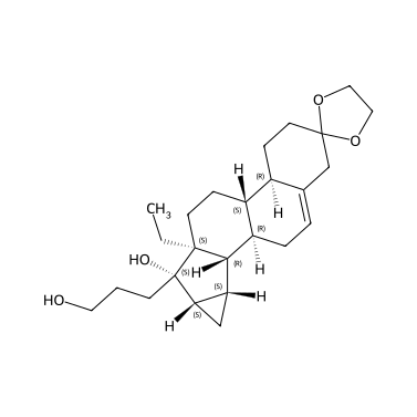 CC[C@]12CC[C@H]3[C@@H](CC=C4CC5(CC[C@@H]43)OCCO5)[C@@H]1[C@@H]1C[C@@H]1[C@@]2(O)CCCO